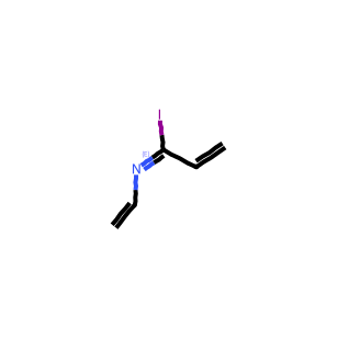 C=C/N=C(/I)C=C